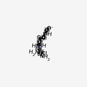 Nc1nc(N)c(C(=O)/N=C2\NCC3(CCN(C(=O)c4cccc(SNC5CC[S+]([O-])C5)c4)CC3)N2)nc1Cl